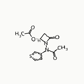 CC(=O)O[C@@H]1CC(=O)N1N(C(C)=O)c1ccsc1